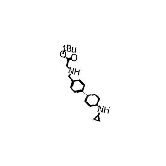 CC(C)(C)OC(=O)CNCc1ccc([C@H]2CC[C@H](NC3CC3)CC2)cc1